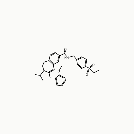 CCS(=O)(=O)c1ccc(CNC(=O)c2ccc3c(c2)C=C(Cc2ccccc2OC)C(C(C)C)CC3)cc1